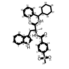 C[C@@](Cc1c[nH]c2ccccc12)(NC(=O)c1ccc(S(C)(=O)=O)cc1)C(=O)NC(c1ccccn1)C1CCCCC1